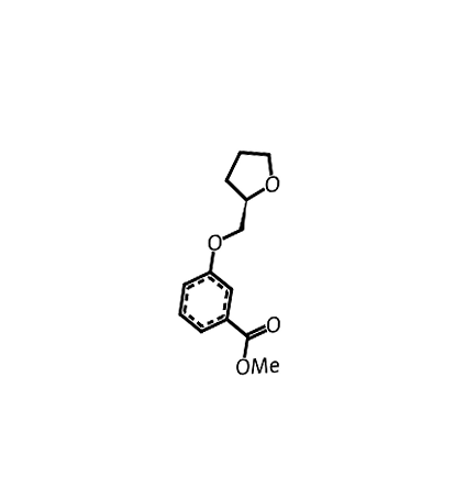 COC(=O)c1cccc(OC[C@H]2CCCO2)c1